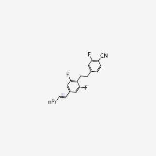 CCC/C=C/c1cc(F)c(CCc2ccc(C#N)c(F)c2)c(F)c1